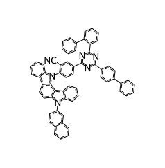 N#Cc1cc(-c2nc(-c3ccc(-c4ccccc4)cc3)nc(-c3ccccc3-c3ccccc3)n2)ccc1-n1c2ccccc2c2ccc3c(c4ccccc4n3-c3ccc4ccccc4c3)c21